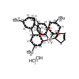 Cl.Cl.[CH2]=[Hf]([C]1=CC=CC1)([c]1ccc(C(C)(C)C)cc1)([c]1ccc(C(C)(C)C)cc1)[c]1cc(C(C)(C)C)cc2c1Cc1ccc(C(C)(C)C)cc1-2